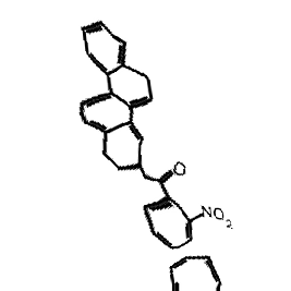 C1=CC=CNC=C1.O=C(c1ccccc1[N+](=O)[O-])C1C=c2c(ccc3c2=CCc2ccccc2-3)CC1